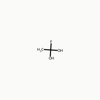 CC(O)(O)F